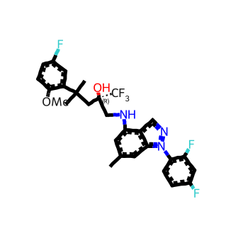 COc1ccc(F)cc1C(C)(C)C[C@@](O)(CNc1cc(C)cc2c1cnn2-c1ccc(F)cc1F)C(F)(F)F